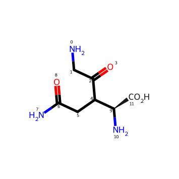 NCC(=O)C(CC(N)=O)[C@H](N)C(=O)O